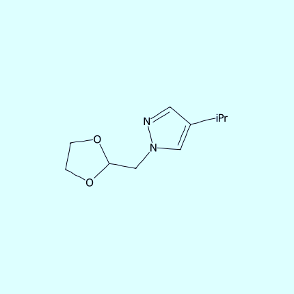 CC(C)c1cnn(CC2OCCO2)c1